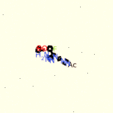 CC(=O)N1CCN(C2CC(n3cc(-c4cc(OCC56CCC(CC5)O6)ccc4F)c4c(N)ncnc43)C2)CC1